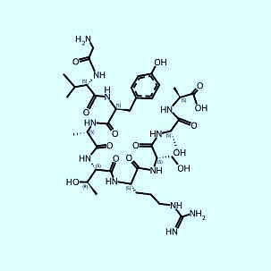 CC(C)[C@H](NC(=O)CN)C(=O)N[C@@H](Cc1ccc(O)cc1)C(=O)N[C@@H](C)C(=O)N[C@H](C(=O)N[C@@H](CCCNC(=N)N)C(=O)N[C@@H](CO)C(=O)N[C@@H](CO)C(=O)N[C@@H](C)C(=O)O)[C@@H](C)O